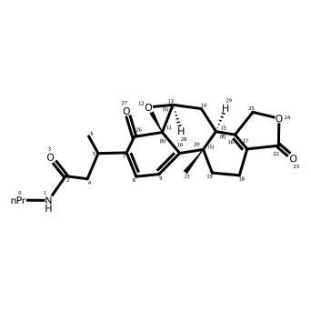 CCCNC(=O)CC(C)C1=CC=C2[C@]3(O[C@H]3C[C@H]3C4=C(CC[C@]23C)C(=O)OC4)C1=O